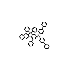 c1ccc(-c2ccc(N(c3ccc(-c4ccccc4)cc3)c3cc(-c4ccccc4)c4c(c3)C3(c5ccccc5-c5ccccc53)c3cc5ccccc5cc3-4)cc2)cc1